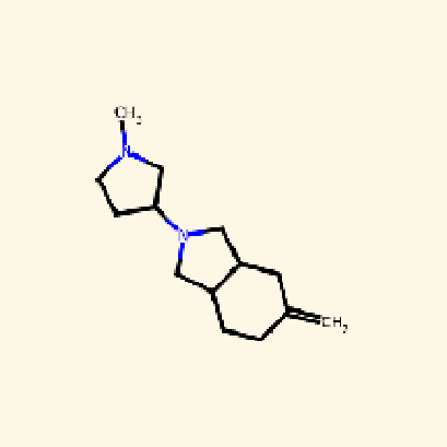 C=C1CCC2CN(C3CCN(C)C3)CC2C1